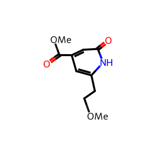 COCCc1cc(C(=O)OC)cc(=O)[nH]1